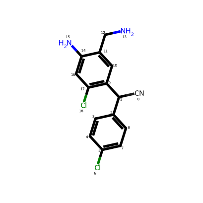 N#CC(c1ccc(Cl)cc1)c1cc(CN)c(N)cc1Cl